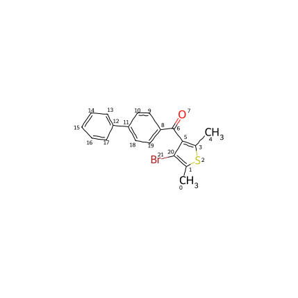 Cc1sc(C)c(C(=O)c2ccc(-c3ccccc3)cc2)c1Br